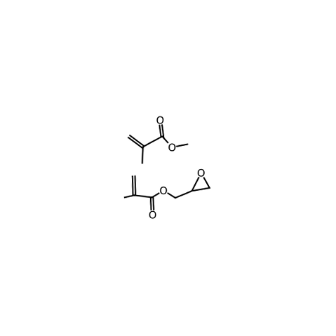 C=C(C)C(=O)OC.C=C(C)C(=O)OCC1CO1